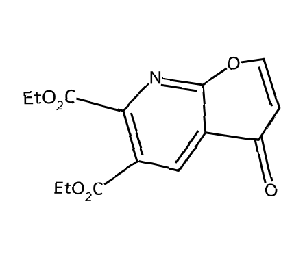 CCOC(=O)c1cc2c(=O)ccoc2nc1C(=O)OCC